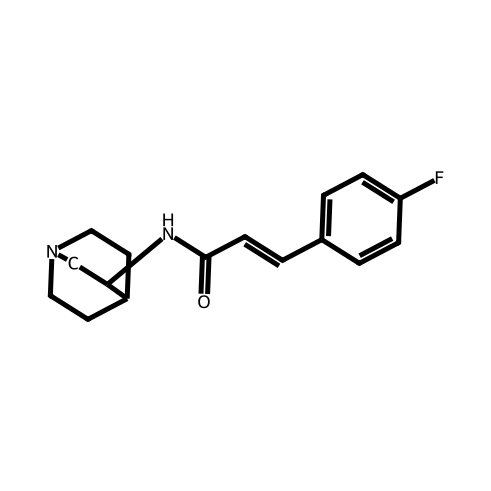 O=C(C=Cc1ccc(F)cc1)NC1CN2CCC1CC2